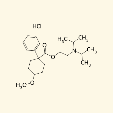 COC1CCC(C(=O)OCCN(C(C)C)C(C)C)(c2ccccc2)CC1.Cl